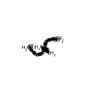 C=C(C(=O)OC1CCC(c2ccc(OCOc3ccc(OCOc4cc(-c5c(OCOc6ccc(OCOc7ccc(C8CCC(OC(=O)C(=C)C(F)(F)F)CC8)cc7)cc6)ccc6cc(C)ccc56)c5ccc(C)cc5c4)cc3)cc2)CC1)C(F)(F)F